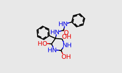 O=C(Nc1ccccc1)NC1(c2ccccc2)C(O)NC(O)NC1O